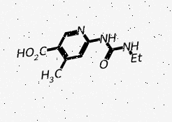 CCNC(=O)Nc1cc(C)c(C(=O)O)cn1